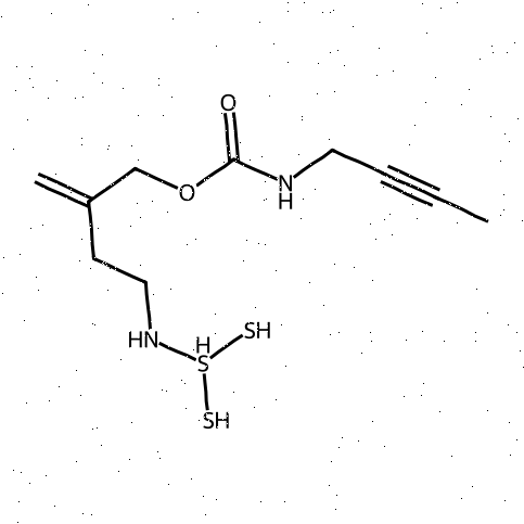 C=C(CCN[SH](S)S)COC(=O)NCC#CC